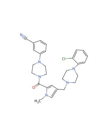 Cn1cc(CN2CCN(c3ccccc3Cl)CC2)cc1C(=O)N1CCN(c2cccc(C#N)c2)CC1